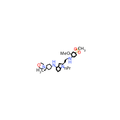 C=C[C@]1(N2CCOCC2)CC[C@@H](Nc2cccc3c2cc(C#CCNc2ccc(S(C)(=O)=O)cc2OC)n3CCC)CC1